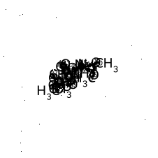 COc1cc(OC)cc(-n2cc(C(=O)N[C@@H]3c4cc5c(cc4[C@@H](c4cc(OC)c(OC)c(OC)c4)[C@H]4C(=O)OC[C@@H]43)OCO5)nn2)c1